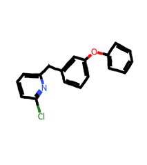 Clc1cccc([CH]c2cccc(Oc3ccccc3)c2)n1